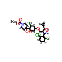 CC(C)(C)OC(=O)N1CCC(O)(c2ccc(OCc3c(-c4c(Cl)cccc4Cl)noc3C3CC3)cc2Cl)CC1